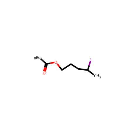 CCCCC(=O)OCCCC(C)I